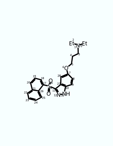 CCN(CC)CCCOc1ccc2[nH]nc(S(=O)(=O)c3cccc4ccccc34)c2c1